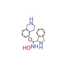 O=C(NO)C1NCc2ccccc21.c1ccc2c(c1)CCNC2